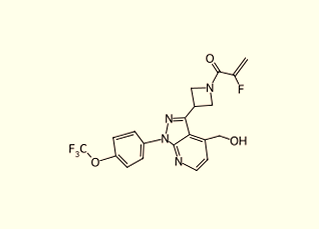 C=C(F)C(=O)N1CC(c2nn(-c3ccc(OC(F)(F)F)cc3)c3nccc(CO)c23)C1